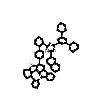 c1ccc(-c2cc(-c3ccccc3)cc(-c3nc(-c4ccc5ccccc5c4)nc(-c4ccccc4-c4ccc(-c5cc6c7ccccc7n7c8ccccc8c8cccc9sc5c(c98)c67)cc4)n3)c2)cc1